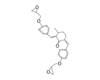 CC1CC/C(=C/c2ccc(OCC3CO3)cc2)C(=O)/C1=C/c1ccc(OCC2CO2)cc1